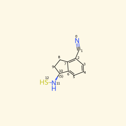 N#Cc1cccc2c1CC[C@@H]2NS